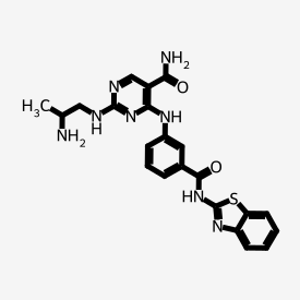 CC(N)CNc1ncc(C(N)=O)c(Nc2cccc(C(=O)Nc3nc4ccccc4s3)c2)n1